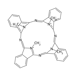 [CH2-][n+]1c2nc3c4ccccc4c(nc4[n+]([CH2-])c(nc5c6ccccc6c(nc1-c1ccccc1-2)n5C)-c1ccccc1-4)n3C